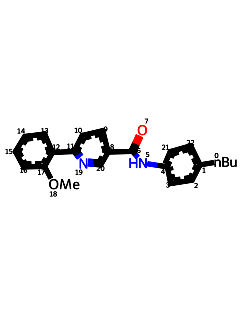 CCCCc1ccc(NC(=O)c2ccc(-c3ccccc3OC)nc2)cc1